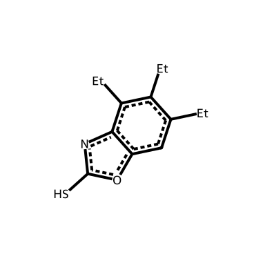 CCc1cc2oc(S)nc2c(CC)c1CC